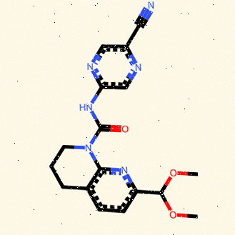 COC(OC)c1ccc2c(n1)N(C(=O)Nc1cnc(C#N)cn1)CCC2